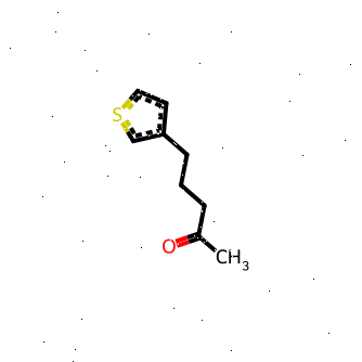 CC(=O)CCCc1ccsc1